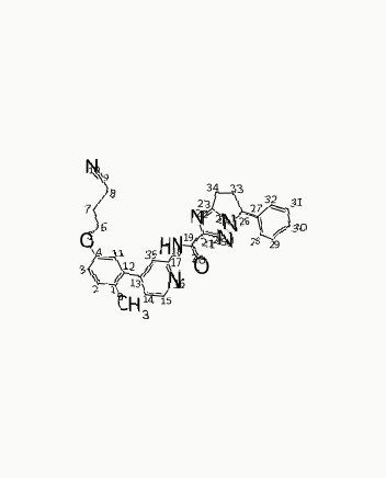 Cc1ccc(OCCCC#N)cc1-c1ccnc(NC(=O)c2nc3n(n2)C(c2ccccc2)CC3)c1